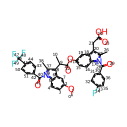 COc1ccc2c(c1)c(C(C)C(=O)Oc1ccc3c(c1)c(CC(=O)O)c(C)n3C(=O)c1ccc(F)cc1)c(C)n2C(=O)c1ccc(C(F)(F)F)cc1